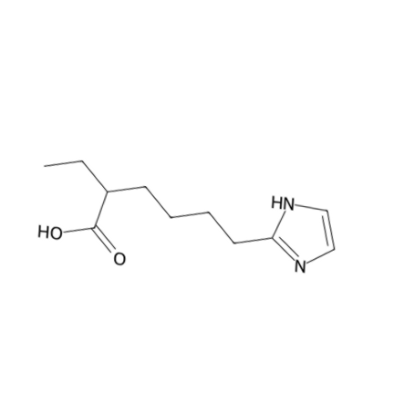 CCC(CCCCc1ncc[nH]1)C(=O)O